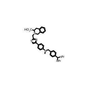 CCCC(CCC)c1ccc(CN(C)c2ccc(-c3csc(CN4Cc5ccccc5CC4C(=O)O)n3)cc2)cc1